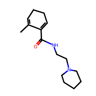 CC1=C[CH]CC=C1C(=O)NCCN1CCCCC1